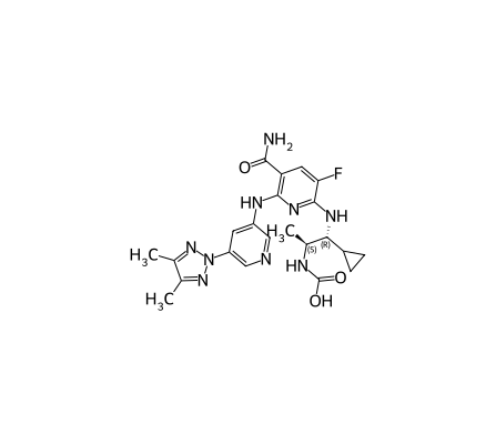 Cc1nn(-c2cncc(Nc3nc(N[C@H](C4CC4)[C@H](C)NC(=O)O)c(F)cc3C(N)=O)c2)nc1C